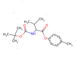 Cc1ccc(OC(=O)C(NC(=O)OC(C)(C)C)C(C)C)cc1